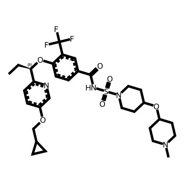 CC[C@@H](Oc1ccc(C(=O)NS(=O)(=O)N2CCC(OC3CCN(C)CC3)CC2)cc1C(F)(F)F)c1ccc(OCC2CC2)cn1